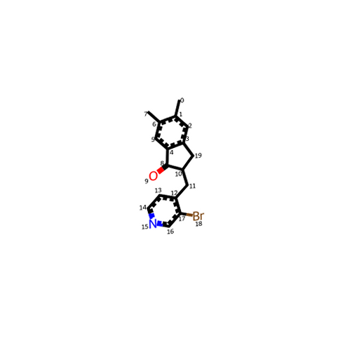 Cc1cc2c(cc1C)C(=O)C(Cc1ccncc1Br)C2